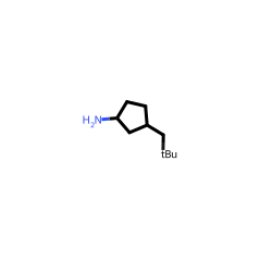 CC(C)(C)CC1CCC(N)C1